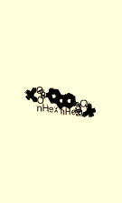 CCCCCCC1(CCCCCC)c2cc(B3OCC(C)(C)CO3)ccc2-c2ccc(B3OCC(C)(C)CO3)cc21